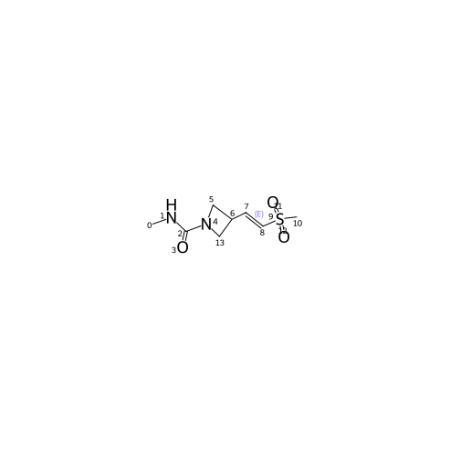 CNC(=O)N1CC(/C=C/S(C)(=O)=O)C1